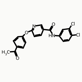 CC(=O)c1ccc(Oc2ccc(C(=O)Nc3ccc(Cl)c(Cl)c3)cn2)cc1